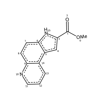 COC(=O)c1cc2c(ccc3ncccc32)[nH]1